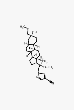 COC[C@@]1(O)CC[C@H]2[C@H](CC[C@@H]3[C@@H]2CC[C@@]2(C)[C@H]3CC[C@@H]2[C@](C)(Cn2cc(C#N)cn2)OC)C1